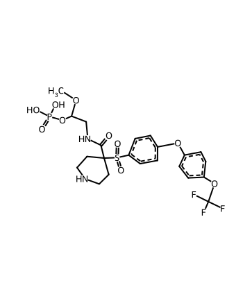 COC(CNC(=O)C1(S(=O)(=O)c2ccc(Oc3ccc(OC(F)(F)F)cc3)cc2)CCNCC1)OP(=O)(O)O